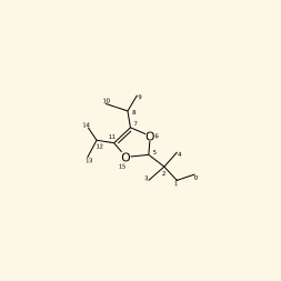 CCC(C)(C)C1OC(C(C)C)=C(C(C)C)O1